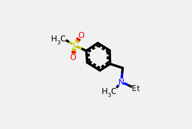 CCN(C)Cc1ccc(S(C)(=O)=O)cc1